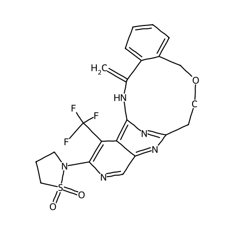 C=C1Nc2nc(nc3cnc(N4CCCS4(=O)=O)c(C(F)(F)F)c23)CCOCc2ccccc21